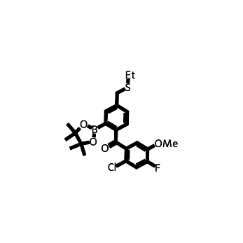 CCSCc1ccc(C(=O)c2cc(OC)c(F)cc2Cl)c(B2OC(C)(C)C(C)(C)O2)c1